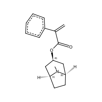 C=C(C(=O)O[C@H]1C[C@H]2CC[C@@H](C1)N2C)c1ccccc1